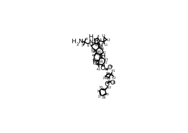 CC(C)(N)CN[C@]12CCC(C3(C)CC3)[C@@H]1[C@H]1CC[C@@H]3[C@@]4(C)CC[C@H](OC(=O)[C@H]5C[C@@H](C(=O)OCc6ccccc6)C5(C)C)C(C)(C)[C@@H]4CC[C@@]3(C)[C@]1(C)CC2